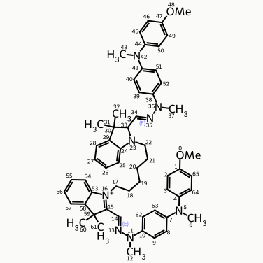 COc1ccc(N(C)c2ccc(N(C)/N=C/C3=[N+](CCCCCCN4c5ccccc5C(C)(C)C4/C=N/N(C)c4ccc(N(C)c5ccc(OC)cc5)cc4)c4ccccc4C3(C)C)cc2)cc1